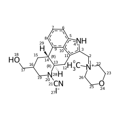 C[N+]1(Cc2[nH]c3cccc4c3c2C[C@@H]2[C@@H]4CC(CO)CN2C#N)CCOCC1.[I-]